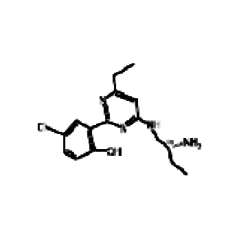 CCc1cc(NC[C@H](N)CC)nc(-c2cc(Cl)ccc2O)n1